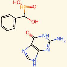 Nc1nc2[nH]cnc2c(=O)[nH]1.O=[PH](O)C(O)c1ccccc1